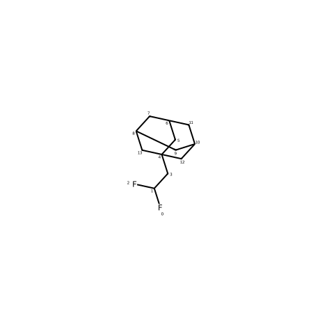 FC(F)CC12CC3CC(CC(C3)C1)C2